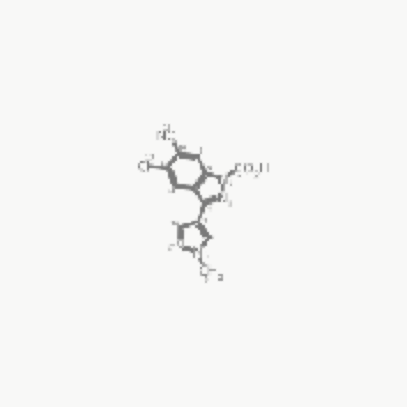 Cn1cc(-c2nn(C(=O)O)c3cc(C#N)c(Cl)cc23)cn1